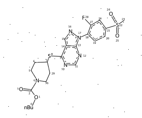 CCCCOC(=O)N1CCC(Sc2ncnc3c2cnn3-c2ccc(S(C)(=O)=O)cc2F)CC1